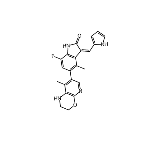 Cc1c(-c2cc(F)c3c(c2C)/C(=C/c2ccc[nH]2)C(=O)N3)cnc2c1NCCO2